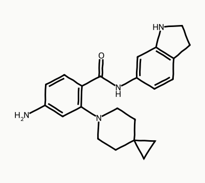 Nc1ccc(C(=O)Nc2ccc3c(c2)NCC3)c(N2CCC3(CC2)CC3)c1